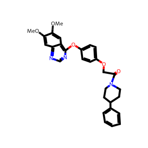 COc1cc2ncnc(Oc3ccc(OCC(=O)N4CCC(c5ccccc5)CC4)cc3)c2cc1OC